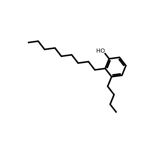 CCCCCCCCCc1c(O)cccc1CCCC